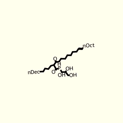 CCCCCCCCC=CCCCCCCCC(=O)C(CCCCCCCCCCCCCC)C(=O)PC(O)C(O)CO